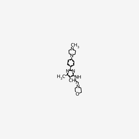 Cc1nc(-c2ccc(N3CCN(C)CC3)cc2)nc(NCCN2CCOCC2)c1C